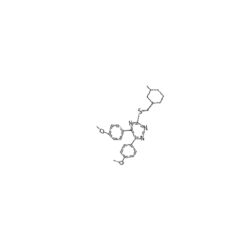 COc1ccc(-c2nnc(SCC3CCCC(C)C3)nc2-c2ccc(OC)cc2)cc1